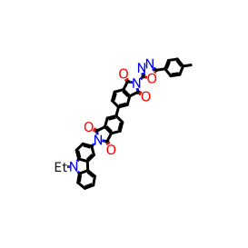 CCn1c2ccccc2c2cc(N3C(=O)c4ccc(-c5ccc6c(c5)C(=O)N(c5nnc(-c7ccc(C)cc7)o5)C6=O)cc4C3=O)ccc21